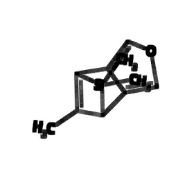 CC1=C2c3cocc3C1[Si]2(C)C